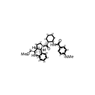 CNc1ccc(C(=O)N[C@@H]2CCCC[C@@H]2C(=O)N2CC[C@H]3[C@H](COC)Nc4ccccc4[C@@H]32)cc1